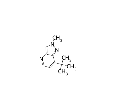 Cn1cc2nccc(C(C)(C)C)c2n1